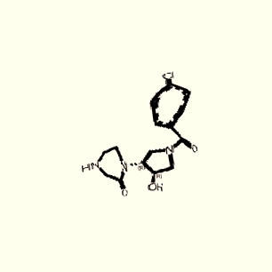 O=C(c1ccc(Cl)cc1)N1C[C@@H](O)[C@H](N2CCNCC2=O)C1